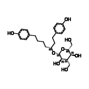 OC[C@@H]1[C@@H](O)[C@H](O[C@H](CCCCc2ccc(O)cc2)CCc2ccc(O)cc2)O[C@H](CO)[C@H]1O